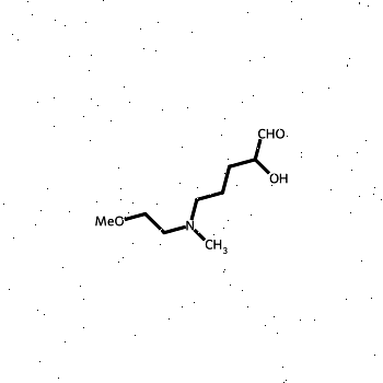 COCCN(C)CCCC(O)C=O